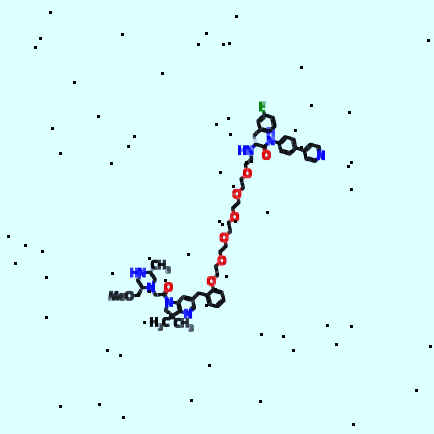 COC[C@H]1CN[C@H](C)CN1CC(=O)N1CC(C)(C)c2ncc(Cc3ccccc3OCCOCCOCCOCCOCCOCCN[C@H](Cc3cccc(F)c3)C(=O)Nc3ccc(-c4ccncc4)cc3)cc21